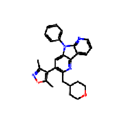 Cc1noc(C)c1-c1cc2c(nc1CC1CCOCC1)c1cccnc1n2-c1ccccc1